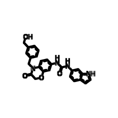 O=C(Nc1ccc2c(c1)OCC(=O)N2Cc1cccc(CO)c1)Nc1ccc2cc[nH]c2c1